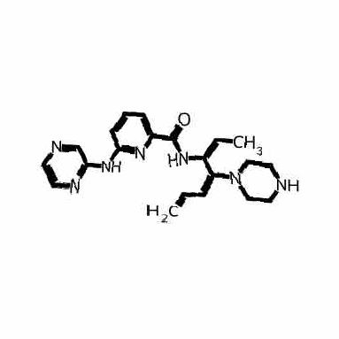 C=C/C=C(\C(=C/C)NC(=O)c1cccc(Nc2cnccn2)n1)N1CCNCC1